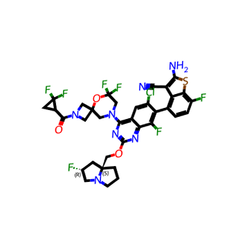 N#Cc1c(N)sc2c(F)ccc(-c3c(Cl)cc4c(N5CC(F)(F)OC6(CN(C(=O)C7CC7(F)F)C6)C5)nc(OC[C@@]56CCCN5C[C@H](F)C6)nc4c3F)c12